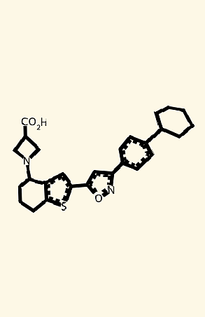 O=C(O)C1CN(C2CCCc3sc(-c4cc(-c5ccc(C6CCCCC6)cc5)no4)cc32)C1